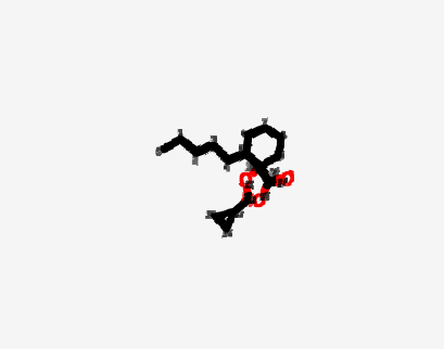 CCCCCC1CCCCC1(OCC1CC1)C(=O)O